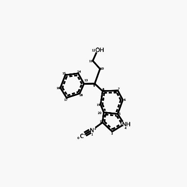 [C-]#[N+]c1c[nH]c2ccc(C(CCO)c3ccccc3)cc12